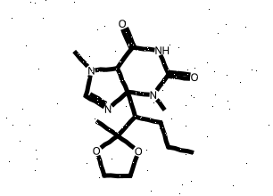 CCCC(C1(C)OCCO1)C12N=CN(C)C1C(=O)NC(=O)N2C